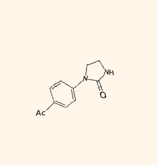 CC(=O)c1ccc(N2CCNC2=O)cc1